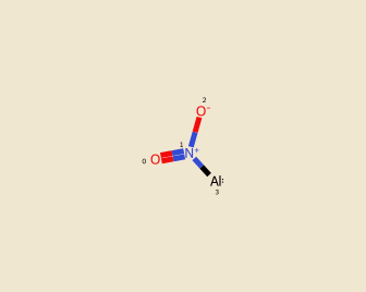 O=[N+]([O-])[Al]